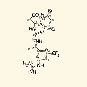 N=C(N)Nc1cc(C(=O)NCC(=O)NC(CC(=O)O)c2cc(Cl)cc(Br)c2)cc(C(F)(F)F)c1